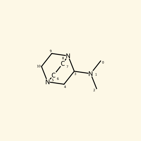 CN(C)C1CN2CCN1CC2